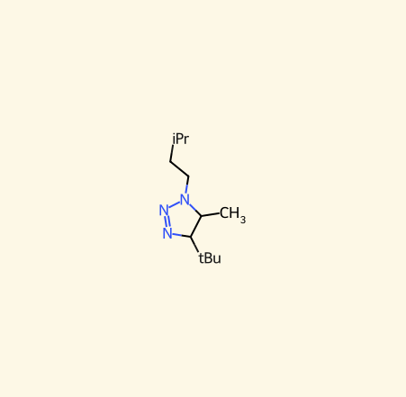 CC(C)CCN1N=NC(C(C)(C)C)C1C